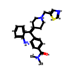 CCN(CC)C(=O)c1ccc(C(=C2CCN(Cc3cncs3)CC2)c2ccccc2N)cc1